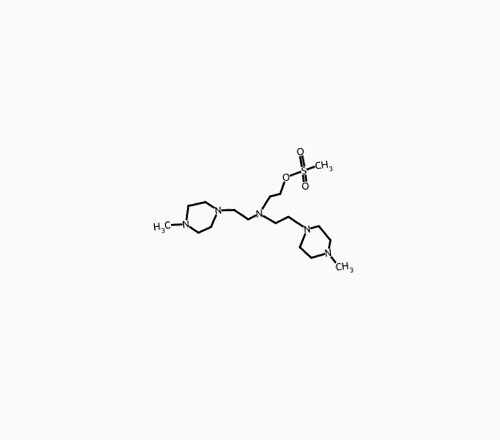 CN1CCN(CCN(CCOS(C)(=O)=O)CCN2CCN(C)CC2)CC1